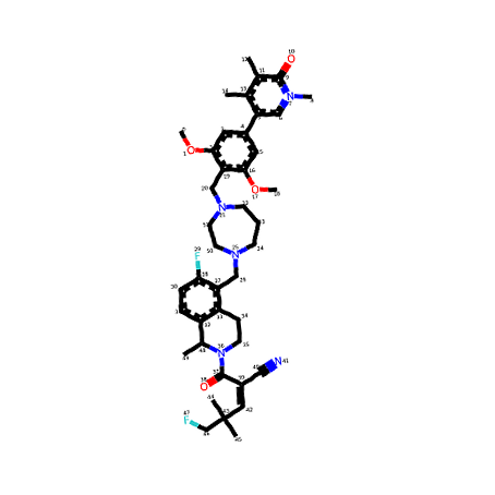 COc1cc(-c2cn(C)c(=O)c(C)c2C)cc(OC)c1CN1CCCN(Cc2c(F)ccc3c2CCN(C(=O)/C(C#N)=C\C(C)(C)CF)C3C)CC1